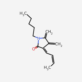 C=C1C(=C)N(CCCCC)C(=O)/C1=C/C=C\C